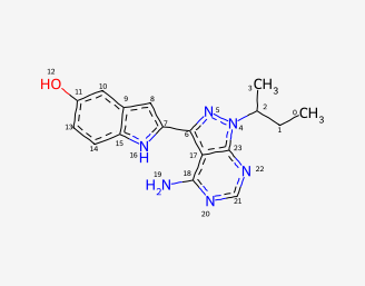 CCC(C)n1nc(-c2cc3cc(O)ccc3[nH]2)c2c(N)ncnc21